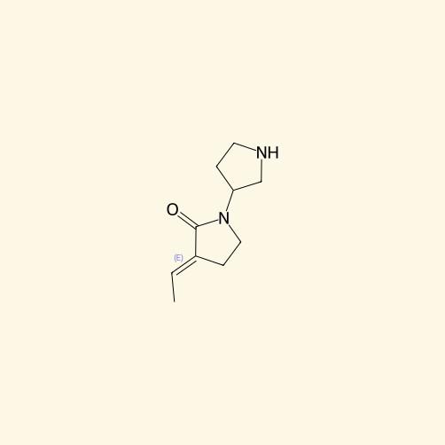 C/C=C1\CCN(C2CCNC2)C1=O